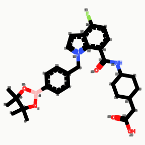 CC1(C)OB(c2ccc(Cn3ccc4c(F)ccc(C(=O)NC5CCC(CC(=O)O)CC5)c43)cc2)OC1(C)C